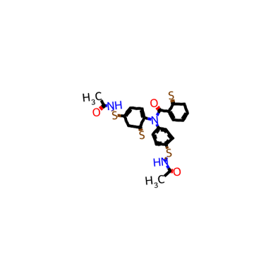 CC(=O)NSC1=CC=C(N(C(=O)C2=CC=CCC2=S)c2ccc(SNC(C)=O)cc2)C(=S)C1